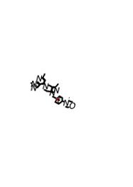 Cc1cc(N2CCc3c(c(C)nn3CC34CCC(N5CCOC[C@H]5C)(CC3)CC4)C2)c2cnn(C)c2n1